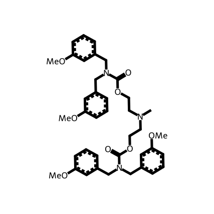 COc1cccc(CN(Cc2cccc(OC)c2)C(=O)OCCN(C)CCOC(=O)N(Cc2cccc(OC)c2)Cc2cccc(OC)c2)c1